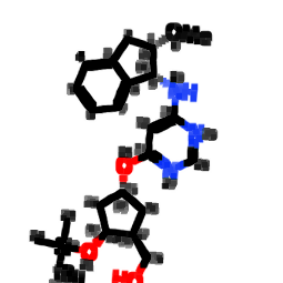 CO[C@H]1Cc2ccccc2[C@H]1Nc1cc(O[C@@H]2C[C@@H](CO)[C@@H](O[Si](C)(C)C(C)(C)C)C2)ncn1